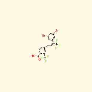 O=C(O)c1ccc(C/C=C(\c2cc(Br)cc(Br)c2)C(F)(F)F)cc1C(F)(F)F